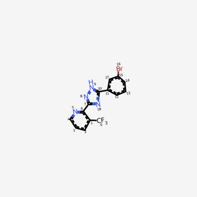 FC(F)(F)c1cccnc1-c1n[nH]c(-c2cccc(Br)c2)n1